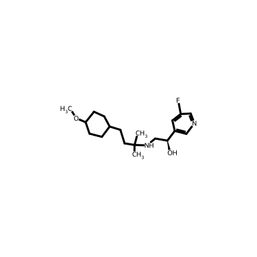 COC1CCC(CCC(C)(C)NC[C@H](O)c2cncc(F)c2)CC1